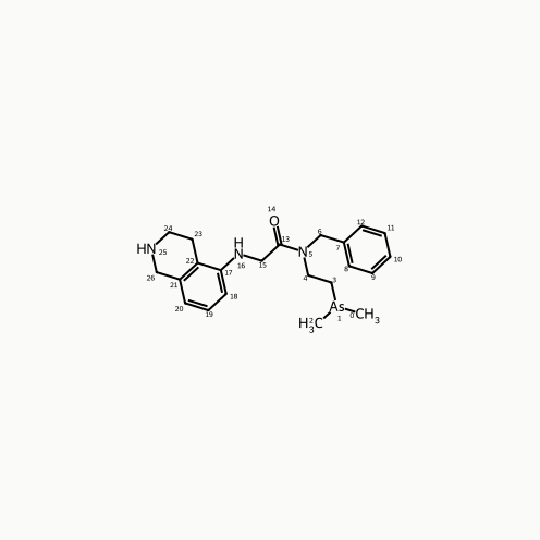 C[As](C)CCN(Cc1ccccc1)C(=O)CNc1cccc2c1CCNC2